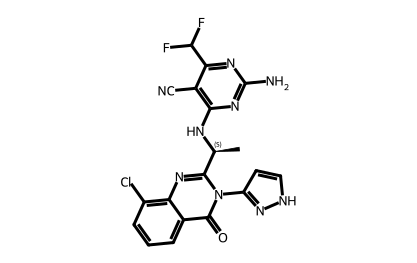 C[C@H](Nc1nc(N)nc(C(F)F)c1C#N)c1nc2c(Cl)cccc2c(=O)n1-c1cc[nH]n1